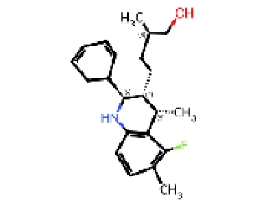 Cc1ccc2c(c1F)[C@@H](C)[C@@H](CC[C@@H](C)CO)[C@H](C1C=CC=CC1)N2